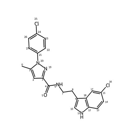 Cc1cc(C(=O)NCCc2c[nH]c3ccc(Cl)cc23)nn1-c1ccc(Cl)cc1